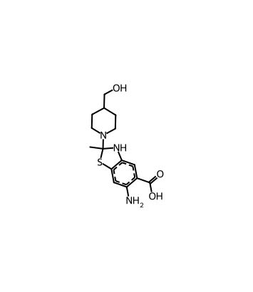 CC1(N2CCC(CO)CC2)Nc2cc(C(=O)O)c(N)cc2S1